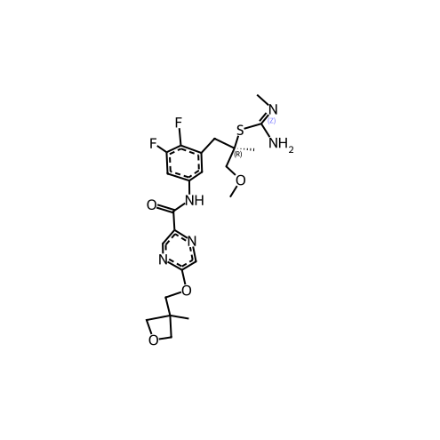 C/N=C(/N)S[C@@](C)(COC)Cc1cc(NC(=O)c2cnc(OCC3(C)COC3)cn2)cc(F)c1F